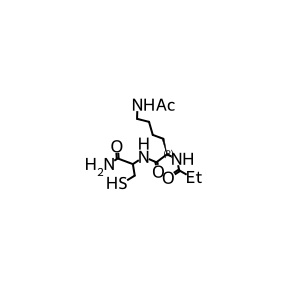 CCC(=O)N[C@H](CCCCNC(C)=O)C(=O)NC(CS)C(N)=O